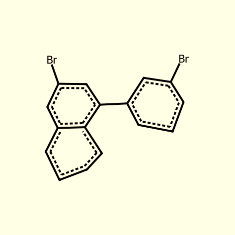 Brc1cccc(-c2cc(Br)cc3ccccc23)c1